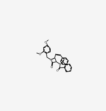 COc1ccc(CN2C(=O)C(N3C(=O)c4ccccc4C3=O)C2/C=C\c2ccccc2)c(OC)c1